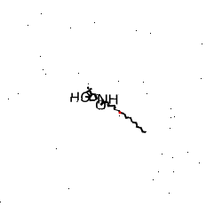 CCCCCCCCCCCCCCCC(=O)Nc1ccc(O)c(C(C)(C)C)c1